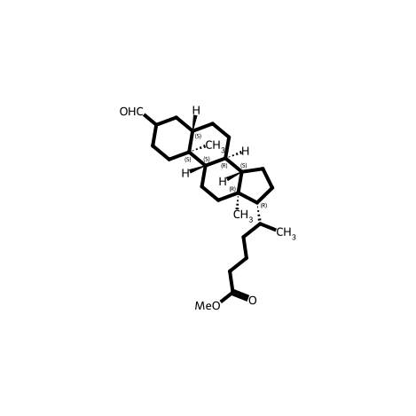 COC(=O)CCCC(C)[C@H]1CC[C@H]2[C@@H]3CC[C@H]4CC(C=O)CC[C@]4(C)[C@H]3CC[C@]12C